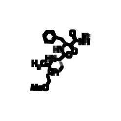 C=C(N[C@@H](CC(C)C)C(=O)N[C@@H](Cc1ccccc1)C(=O)C(=O)NCC)OCCOC